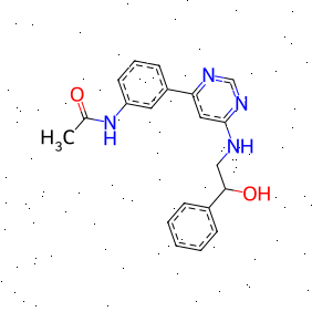 CC(=O)Nc1cccc(-c2cc(NCC(O)c3ccccc3)ncn2)c1